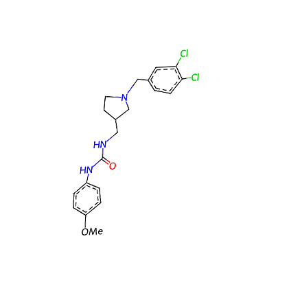 COc1ccc(NC(=O)NCC2CCN(Cc3ccc(Cl)c(Cl)c3)C2)cc1